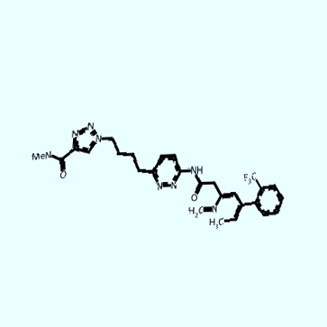 C=N/C(=C\C(=C/C)c1ccccc1C(F)(F)F)CC(=O)Nc1ccc(CCCCn2cc(C(=O)NC)nn2)nn1